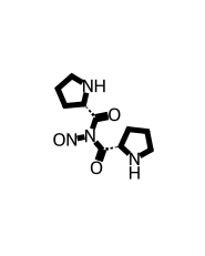 O=NN(C(=O)[C@@H]1CCCN1)C(=O)[C@@H]1CCCN1